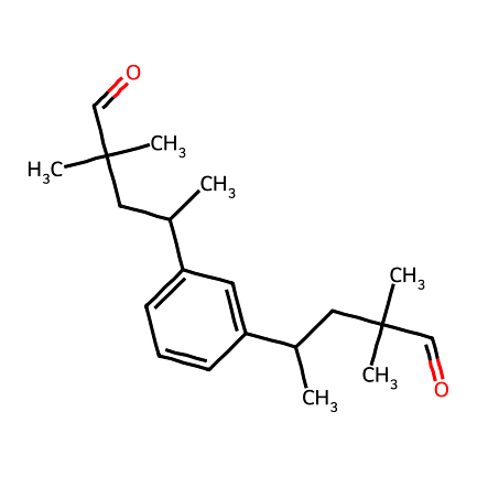 CC(CC(C)(C)C=O)c1cccc(C(C)CC(C)(C)C=O)c1